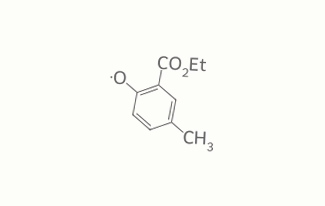 CCOC(=O)c1cc(C)ccc1[O]